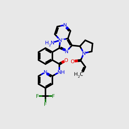 C=CC(=O)N1CCCC1C1=C2C=NC=C[N+]2(N)C(c2ccccc2C(=O)Nc2cc(C(F)(F)F)ccn2)=N1